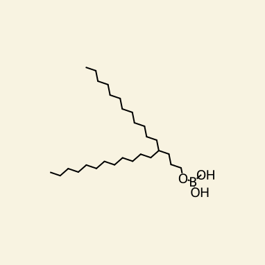 CCCCCCCCCCCCC(CCCCCCCCCCCC)CCCOB(O)O